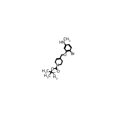 CNc1ccc(Br)c(OCC2=CCN(C(=O)OC(C)(C)C)CC2)c1